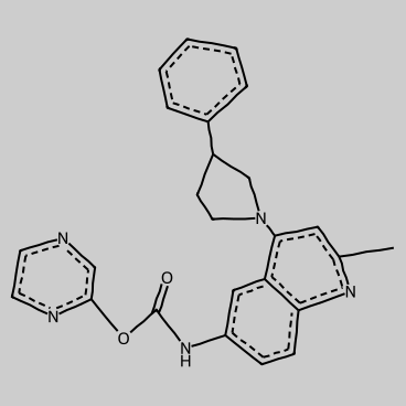 Cc1cc(N2CCC(c3ccccc3)C2)c2cc(NC(=O)Oc3cnccn3)ccc2n1